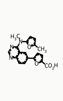 Cc1ccc(N(C)c2ncnc3ccc(-c4ccc(C(=O)O)o4)cc23)o1